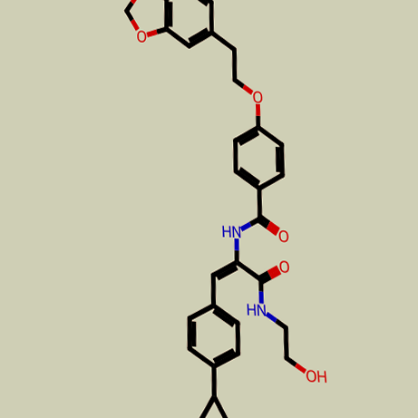 O=C(NCCO)C(=Cc1ccc(C2CC2)cc1)NC(=O)c1ccc(OCCc2ccc3c(c2)OCO3)cc1